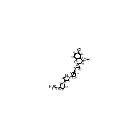 O=C(NC1CC2(n3cc(N4CCC(OC(F)(F)F)C4)cn3)CC1C2)[C@H]1C[C@@H](O)c2cc(Cl)ccc2O1